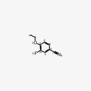 [CH2]COc1ccc(C#N)cc1F